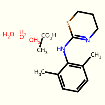 CC(=O)O.Cc1cccc(C)c1NC1=NCCCS1.O.O.O